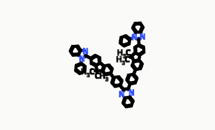 CC1(C)c2cc(-c3ccc(-c4nc5ccccc5nc4-c4ccc(-c5ccc6c(c5)C(C)(C)c5cc(-c7nc8ccccc8n7-c7ccccc7)ccc5-6)cc4)cc3)ccc2-c2ccc(-c3nc4ccccc4n3-c3ccccc3)cc21